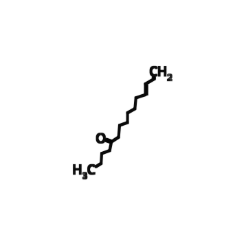 C=CC=CCCCCCCC(=O)CCCC